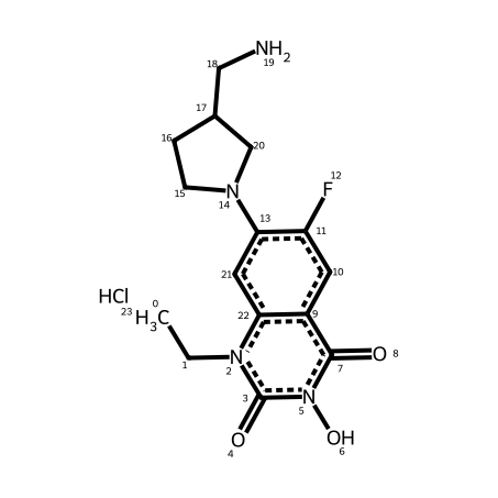 CCn1c(=O)n(O)c(=O)c2cc(F)c(N3CCC(CN)C3)cc21.Cl